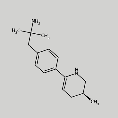 C[C@H]1CC=C(c2ccc(CC(C)(C)N)cc2)NC1